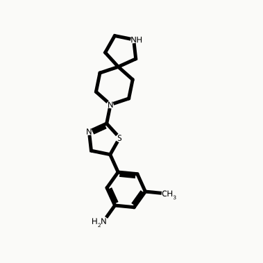 Cc1cc(N)cc(C2CN=C(N3CCC4(CCNC4)CC3)S2)c1